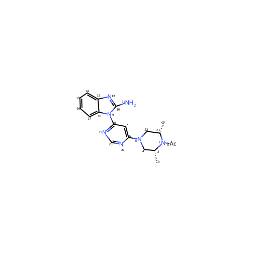 CC(=O)N1[C@H](C)CN(c2cc(-n3c(N)nc4ccccc43)ncn2)C[C@@H]1C